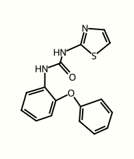 O=C(Nc1nccs1)Nc1ccccc1Oc1ccccc1